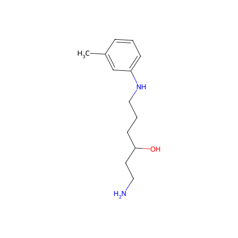 Cc1cccc(NCCCC(O)CCN)c1